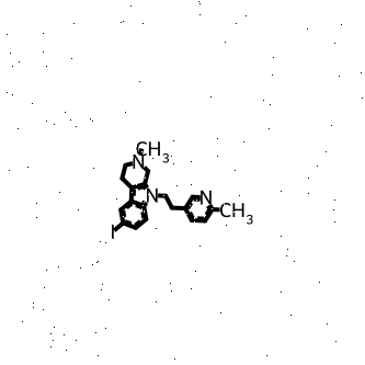 Cc1ccc(CCn2c3c(c4cc(I)ccc42)CCN(C)C3)cn1